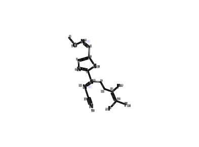 CO/N=C\c1cnc(/S(CCC(F)=C(F)F)=N/C#N)s1